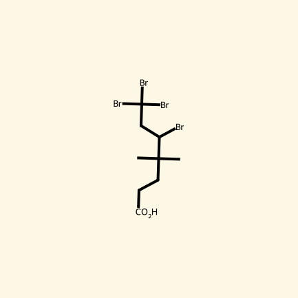 CC(C)(CCC(=O)O)C(Br)CC(Br)(Br)Br